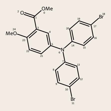 COC(=O)c1cc(N(c2ccc(Br)cc2)c2ccc(Br)cc2)ccc1OC